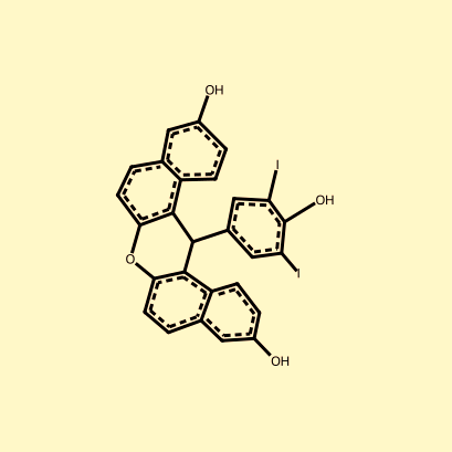 Oc1ccc2c3c(ccc2c1)Oc1ccc2cc(O)ccc2c1C3c1cc(I)c(O)c(I)c1